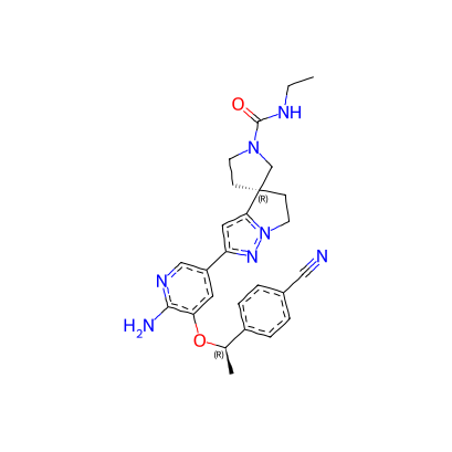 CCNC(=O)N1CC[C@@]2(CCn3nc(-c4cnc(N)c(O[C@H](C)c5ccc(C#N)cc5)c4)cc32)C1